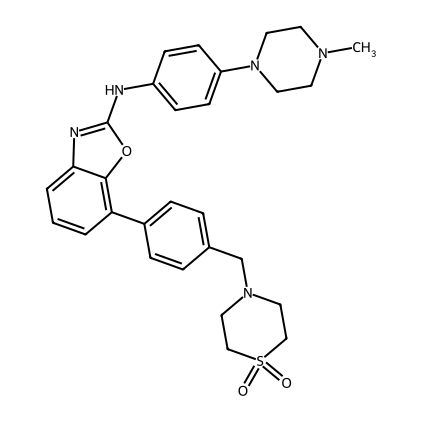 CN1CCN(c2ccc(Nc3nc4cccc(-c5ccc(CN6CCS(=O)(=O)CC6)cc5)c4o3)cc2)CC1